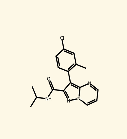 Cc1cc(Cl)ccc1-c1c(C(=O)NC(C)C)nn2cccnc12